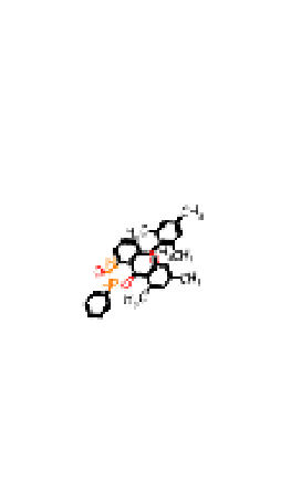 Cc1cc(C)c(C(=O)c2cccc([PH](=O)Pc3ccccc3)c2C(=O)c2c(C)cc(C)cc2C)c(C)c1